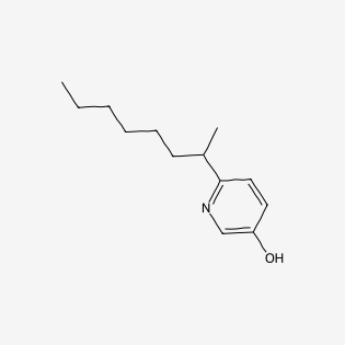 CCCCCCC(C)c1ccc(O)cn1